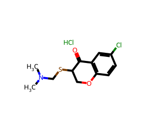 CN(C)CSC1COc2ccc(Cl)cc2C1=O.Cl